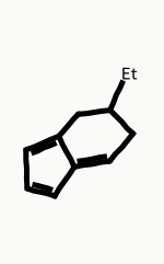 CCC1CC=C2C=CC=C2C1